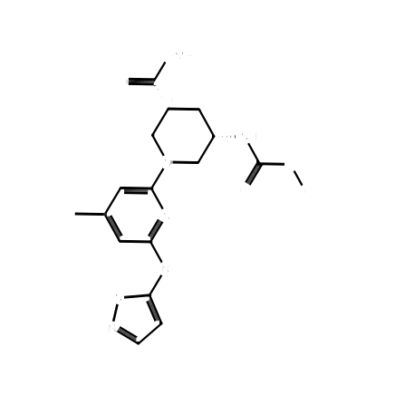 COC(=O)[C@@H]1C[C@H](NC(=O)OC(C)(C)C)CN(c2cc(C)cc(Nc3ccn[nH]3)n2)C1